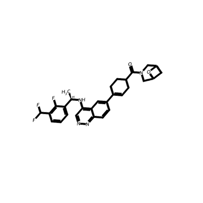 C[C@@H](Nc1cnnc2ccc(C3=CCC(C(=O)N4CC5CC(C4)O5)CC3)cc12)c1cccc(C(F)F)c1F